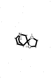 C1COC2(CN3CCC2CC3)O1